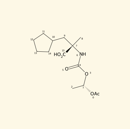 CC(=O)O[C@H](C)OC(=O)N[C@@](C)(CC1CCCC1)C(=O)O